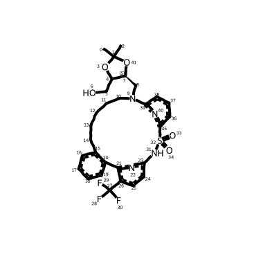 CC1(C)OC(CO)[C@H](CN2CCCCCc3ccccc3-c3nc(ccc3C(F)(F)F)NS(=O)(=O)c3cccc2n3)O1